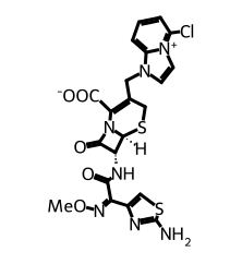 CO/N=C(\C(=O)N[C@@H]1C(=O)N2C(C(=O)[O-])=C(Cn3cc[n+]4c(Cl)cccc34)CS[C@@H]12)c1csc(N)n1